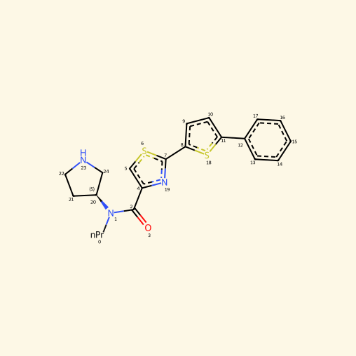 CCCN(C(=O)c1csc(-c2ccc(-c3ccccc3)s2)n1)[C@H]1CCNC1